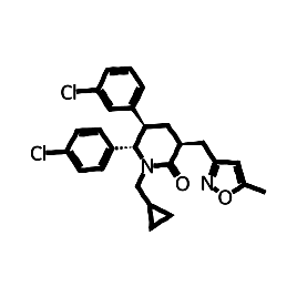 Cc1cc(C[C@@H]2C[C@H](c3cccc(Cl)c3)[C@@H](c3ccc(Cl)cc3)N(CC3CC3)C2=O)no1